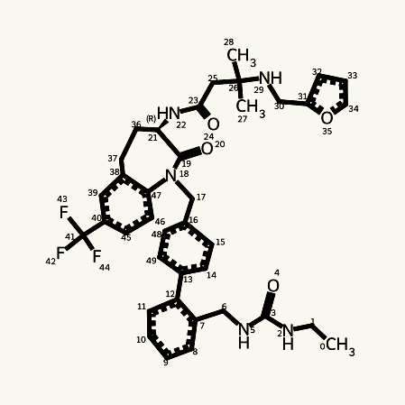 CCNC(=O)NCc1ccccc1-c1ccc(CN2C(=O)[C@H](NC(=O)CC(C)(C)NCc3ccco3)CCc3cc(C(F)(F)F)ccc32)cc1